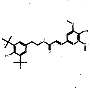 COc1cc(/C=C/C(=O)NCCc2cc(C(C)(C)C)c(O)c(C(C)(C)C)c2)cc(OC)c1O